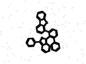 c1ccc(-c2cccc(-c3cccc4c3oc3ccccc34)c2-c2oc(-c3ccccc3)c3ccccc23)cc1